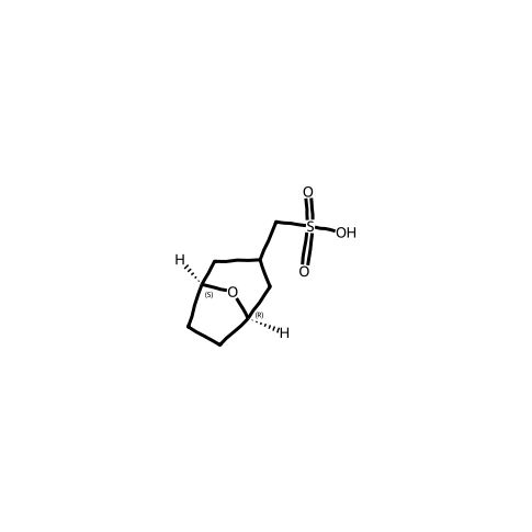 O=S(=O)(O)CC1C[C@H]2CC[C@@H](C1)O2